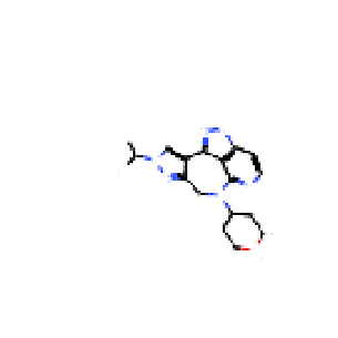 CC(C)n1cc2c(n1)CN(C1CCOCC1)c1nccc3[nH]nc-2c13